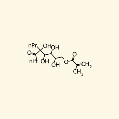 C=C(C)C(=O)OCC(O)C(O)C(O)C(O)(CCC)C(=O)CCC